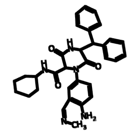 C/N=C\c1cc(N2C(=O)C(C(c3ccccc3)c3ccccc3)NC(=O)C2C(=O)NC2CCCCC2)ccc1N